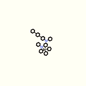 c1ccc(-c2ccc(-c3ccc(N(c4ccccc4)c4ccc5c(c4)N(c4ccccc4)c4ccccc4[Si]5(c4ccccc4)c4ccccc4)cc3)cc2)cc1